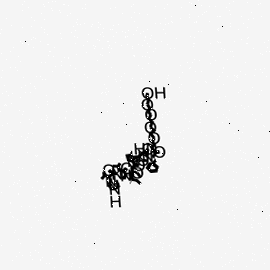 CC[C@H](C)[C@@H]([C@@H](CC(=O)N1CCC[C@H]1[C@H](OC)[C@@H](C)C(=O)N[C@@H](Cc1ccccc1)C(=O)NCCOCCOCCOCCOCCO)OC)N(C)C(=O)[C@@H](NC(=O)[C@H](C(C)C)N1CCNCC1)C(C)C